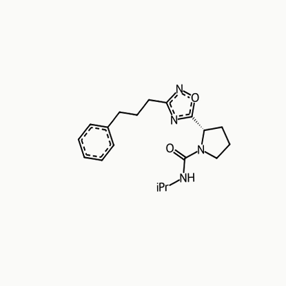 CC(C)NC(=O)N1CCC[C@H]1c1nc(CCCc2ccccc2)no1